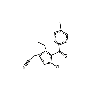 CCn1c(CC#N)cc(Cl)c1C(=S)c1ccc(C)cc1